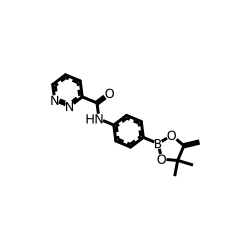 C=C1OB(c2ccc(NC(=O)c3cccnn3)cc2)OC1(C)C